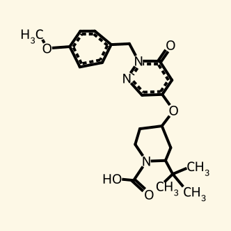 COc1ccc(Cn2ncc(OC3CCN(C(=O)O)C(C(C)(C)C)C3)cc2=O)cc1